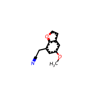 COc1cc(CC#N)c2occc2c1